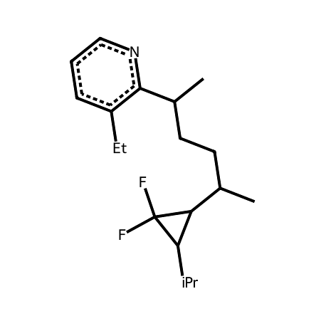 CCc1cccnc1C(C)CCC(C)C1C(C(C)C)C1(F)F